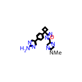 CNC1=NCC(c2nc(C3(c4ccc(-c5cnc(N)nc5)cc4)CCC3)no2)N=C1